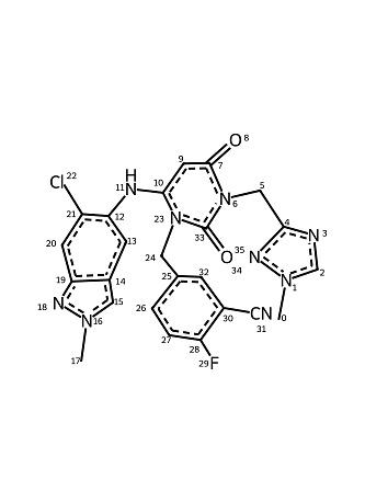 Cn1cnc(Cn2c(=O)cc(Nc3cc4cn(C)nc4cc3Cl)n(Cc3ccc(F)c(C#N)c3)c2=O)n1